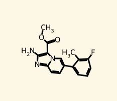 COC(=O)c1c(N)nc2ccc(-c3cccc(F)c3C)cn12